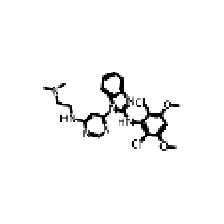 COc1cc(OC)c(Cl)c(Nc2nc3ccccc3n2-c2cc(NCCN(C)C)ncn2)c1Cl